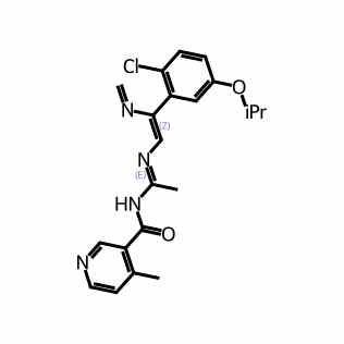 C=N/C(=C\N=C(/C)NC(=O)c1cnccc1C)c1cc(OC(C)C)ccc1Cl